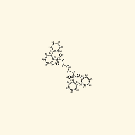 O=P1(CCOCCP2(=O)Oc3ccccc3-c3ccccc32)Oc2ccccc2-c2ccccc21